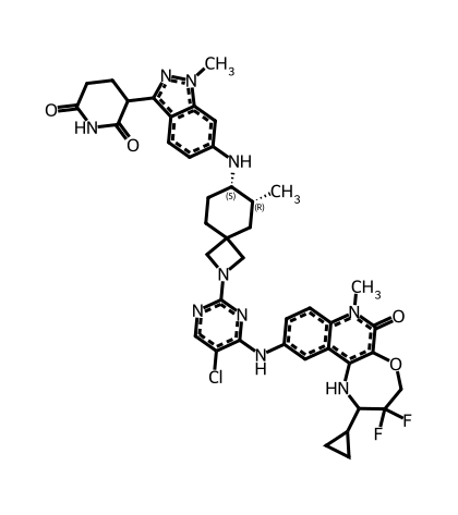 C[C@@H]1CC2(CC[C@@H]1Nc1ccc3c(C4CCC(=O)NC4=O)nn(C)c3c1)CN(c1ncc(Cl)c(Nc3ccc4c(c3)c3c(c(=O)n4C)OCC(F)(F)C(C4CC4)N3)n1)C2